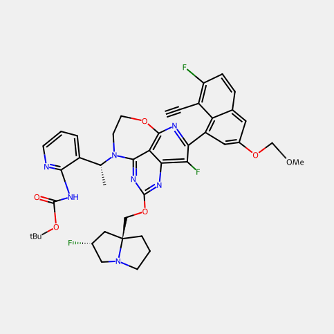 C#Cc1c(F)ccc2cc(OCOC)cc(-c3nc4c5c(nc(OC[C@@]67CCCN6C[C@H](F)C7)nc5c3F)N([C@H](C)c3cccnc3NC(=O)OC(C)(C)C)CCO4)c12